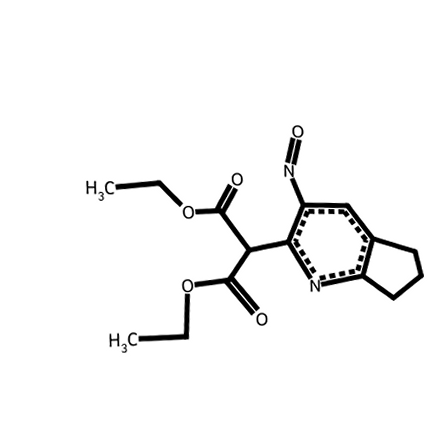 CCOC(=O)C(C(=O)OCC)c1nc2c(cc1N=O)CCC2